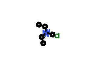 Clc1ccc(-c2nc(-c3cccc(-c4ccccc4)c3)nc(-c3cccc(-c4ccccc4)c3)n2)cc1